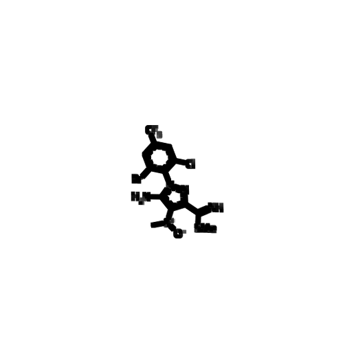 CSC(=N)c1nn(-c2c(Cl)cc(C(F)(F)F)cc2Br)c(N)c1[S+](C)[O-]